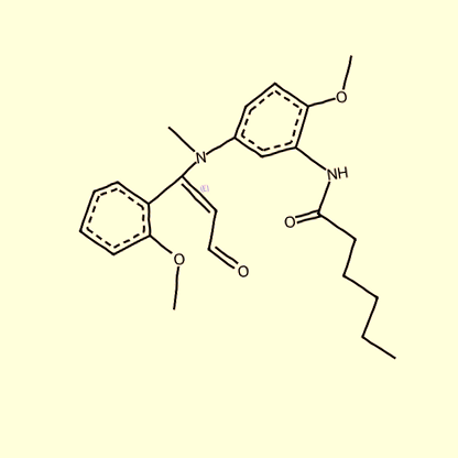 CCCCCC(=O)Nc1cc(N(C)/C(=C/C=O)c2ccccc2OC)ccc1OC